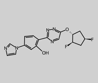 Oc1cc(-n2ccnc2)ccc1-c1ncc(O[C@@H]2C[C@@H](F)C[C@H]2F)nn1